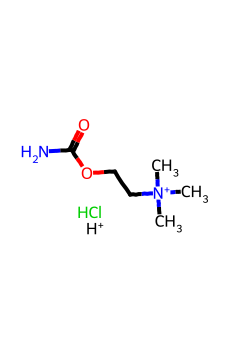 C[N+](C)(C)CCOC(N)=O.Cl.[H+]